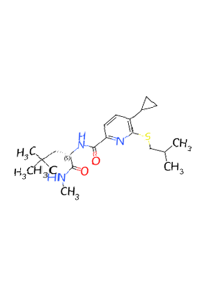 CNC(=O)[C@H](CC(C)(C)C)NC(=O)c1ccc(C2CC2)c(SCC(C)C)n1